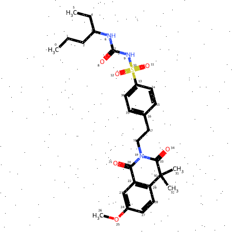 CCCC(CC)NC(=O)NS(=O)(=O)c1ccc(CCN2C(=O)c3cc(OC)ccc3C(C)(C)C2=O)cc1